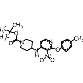 Cc1ccc(Oc2nccc(NC3CCN(C(=O)OC(C)(C)C)CC3)c2[N+](=O)[O-])cc1